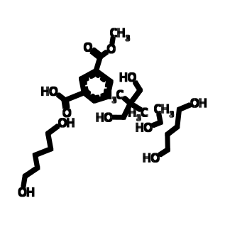 CC(C)(CO)CO.CCO.COC(=O)c1cccc(C(=O)O)c1.OCCCCCO.OCCCCO